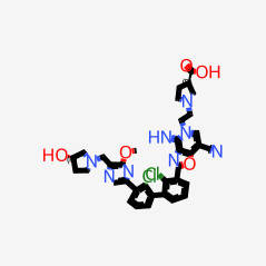 COc1nc(-c2cccc(-c3cccc(-c4nc5c(=N)n(CCN6CC[C@@H](C(=O)O)C6)cc(C#N)c5o4)c3Cl)c2Cl)cnc1CN1CC[C@@H](O)C1